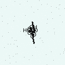 CCCCCCOC(=O)C(C)C(=C(CC(=O)O)C(=O)O)C(C)C(=O)OCCCCCC